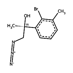 Cc1cccc([C@](C)(O)CN=[N+]=[N-])c1Br